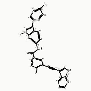 Cc1ccc(C(=O)Nc2ccc3c(-c4ccc(F)nc4)cn(C)c3c2)cc1C#Cc1c[nH]c2ncccc12